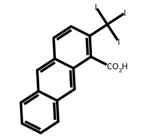 O=C(O)c1c(C(I)(I)I)ccc2cc3ccccc3cc12